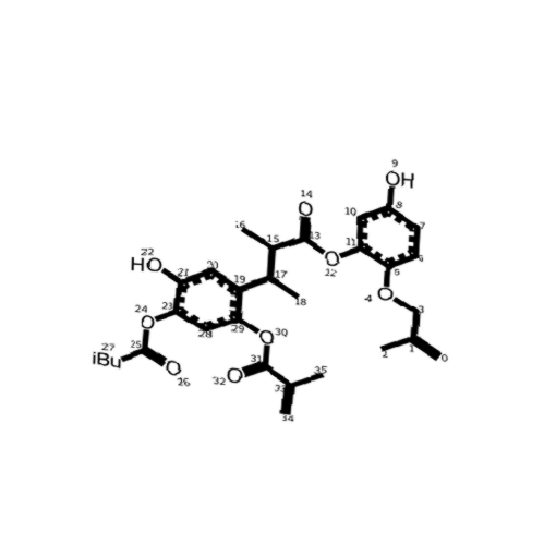 C=C(C)COc1ccc(O)cc1OC(=O)C(C)C(C)c1cc(O)c(OC(=O)C(C)CC)cc1OC(=O)C(=C)C